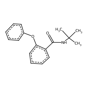 CC(C)(C)NC(=O)c1ccccc1Oc1ccccc1